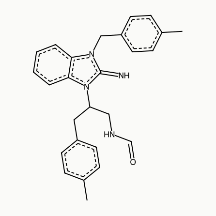 Cc1ccc(CC(CNC=O)n2c(=N)n(Cc3ccc(C)cc3)c3ccccc32)cc1